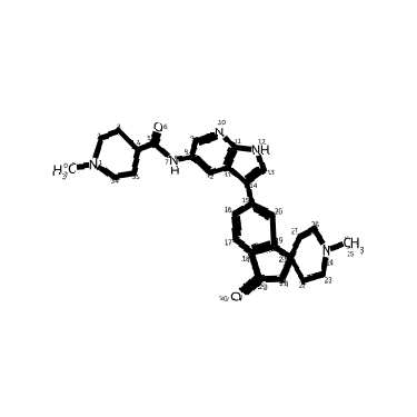 CN1CCC(C(=O)Nc2cnc3[nH]cc(-c4ccc5c(c4)C4(CCN(C)CC4)CC5=O)c3c2)CC1